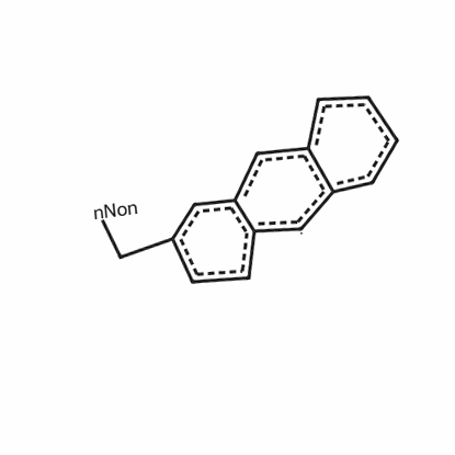 CCCCCCCCCCc1ccc2[c]c3ccccc3cc2c1